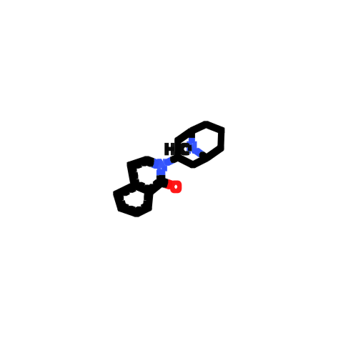 CN1C2CCCC1CC(n1ccc3ccccc3c1=O)C2